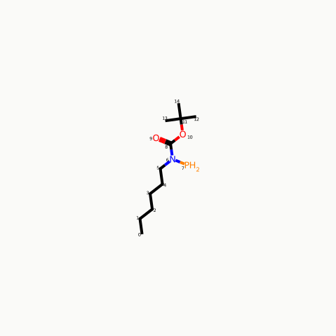 CCCCCCN(P)C(=O)OC(C)(C)C